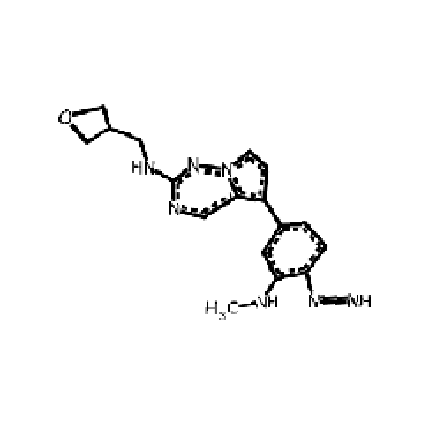 CNc1cc(-c2ccn3nc(NCC4COC4)ncc23)ccc1N=N